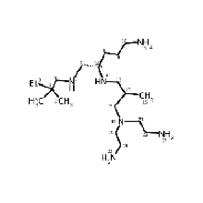 CCC(C)(C)CNC[C@H](CCCN)NCC(C)CN(CCN)CCN